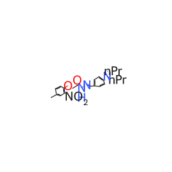 CCCN(CCC)c1ccc(/C=N/NC(=O)COc2ccc(C)cc2[N+](=O)[O-])cc1